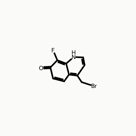 O=c1ccc2c(CBr)cc[nH]c-2c1F